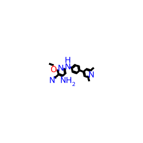 CCOc1nc(Nc2ccc(-c3cc(C)nc(C)c3)cc2)cc(N)c1C#N